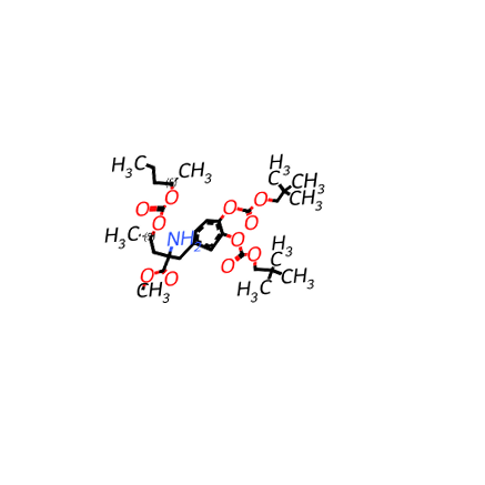 CCC[C@H](C)OC(=O)O[C@@H](C)CC(N)(Cc1ccc(OC(=O)OCC(C)(C)C)c(OC(=O)OCC(C)(C)C)c1)C(=O)OC